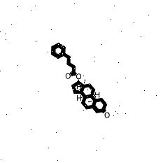 C[C@]12CC[C@H]3[C@@H](CCC4=CC(=O)CC[C@@]43C)[C@@H]1CC[C@@H]2OC(=O)CCCc1ccccc1